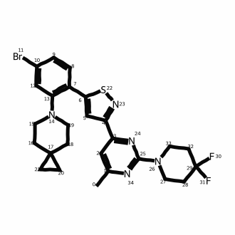 Cc1cc(-c2cc(-c3ccc(Br)cc3N3CCC4(CC3)CC4)sn2)nc(N2CCC(F)(F)CC2)n1